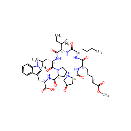 CCCC[C@H](NC(=O)[C@H](CC/C=C/C(=O)OC)NC(=O)[C@@H]1CC(=O)CN1)C(=O)N[C@H](C(=O)N[C@@H](CC(C)C)C(=O)N1CCC[C@H]1C(=O)N[C@@H](Cc1c[nH]c2ccccc12)C(=O)O)C(C)CC